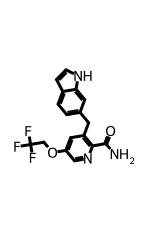 NC(=O)c1ncc(OCC(F)(F)F)cc1Cc1ccc2cc[nH]c2c1